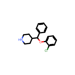 Clc1ccccc1OC(c1ccccc1)C1CCNCC1